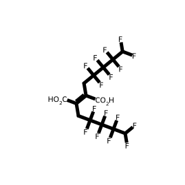 O=C(O)C(CC(F)(F)C(F)(F)C(F)(F)C(F)F)=C(CC(F)(F)C(F)(F)C(F)(F)C(F)F)C(=O)O